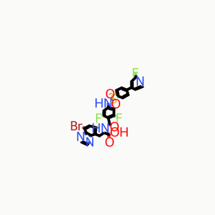 O=C(NC(Cc1ccc(Br)c2nccnc12)C(=O)O)c1c(F)cc(NS(=O)(=O)c2ccc(-c3ccnc(F)c3)cc2)cc1F